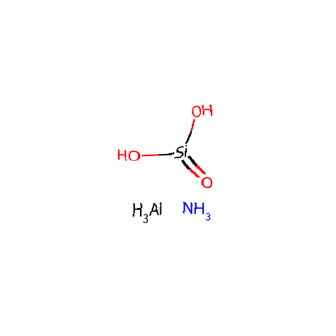 N.O=[Si](O)O.[AlH3]